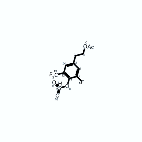 CC(=O)OCCc1cc(F)c(O[SH](=O)=O)c(C(F)(F)F)c1